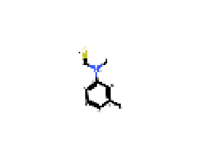 Cc1cccc(N(C)[C]=S)c1